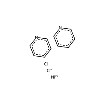 [Cl-].[Cl-].[Ni+2].c1ccncc1.c1ccncc1